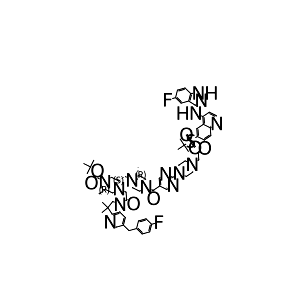 C[C@@H]1CN(C(=O)c2cnc(N3CCN(CCOc4cc5nccc(Nc6n[nH]c7ccc(F)cc67)c5cc4S(=O)(=O)C(C)(C)C)CC3)nc2)CCN1C[C@H]1CN(C(=O)OC(C)(C)C)[C@H](C)CN1CC(=O)N1CC(C)(C)c2ncc(Cc3ccc(F)cc3)cc21